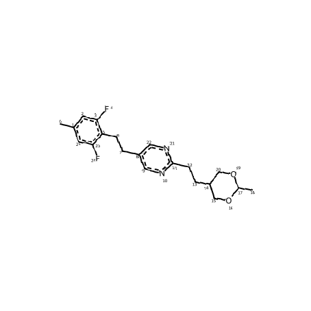 Cc1cc(F)c(CCc2cnc(CCC3COC(C)OC3)nc2)c(F)c1